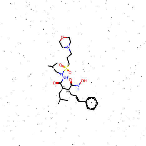 CC(C)C[C@@H](C(=O)NN(CC(C)C)S(=O)(=O)CCCN1CCOCC1)[C@H](CC=Cc1ccccc1)C(=O)NO